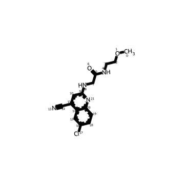 COCCNC(=O)CNc1cc(C#N)c2cc(Cl)ccc2n1